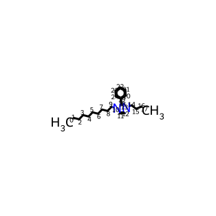 CCCCCCCCCCN1C=CN(CCCC)C1c1ccccc1